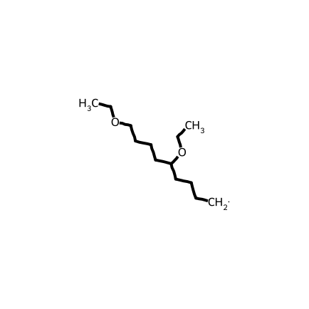 [CH2]CCCC(CCCCOCC)OCC